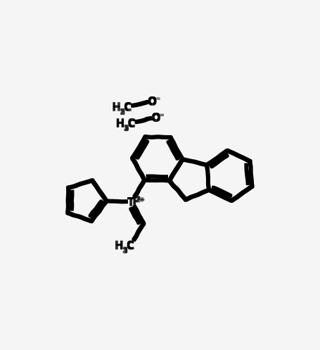 C[CH]=[Ti+2]([C]1=CC=CC1)[c]1cccc2c1Cc1ccccc1-2.C[O-].C[O-]